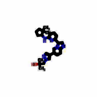 CC(C)(O)Cn1cc(-c2ccc3ncc(-c4cccc(NC5CCCC5(C)C)n4)n3c2)cn1